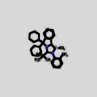 Cc1ccccc1N1C(C(C)(C)C)N2C(c3ccccc3C2(C2CCCCC2)C2CCCCC2)[C@@H]1C